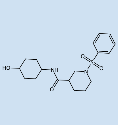 O=C(NC1CCC(O)CC1)C1CCCN(S(=O)(=O)c2ccccc2)C1